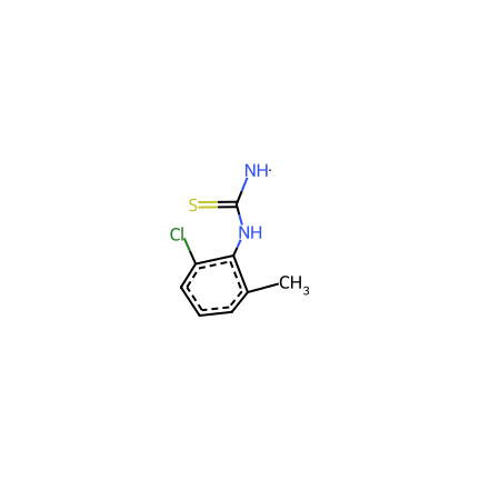 Cc1cccc(Cl)c1NC([NH])=S